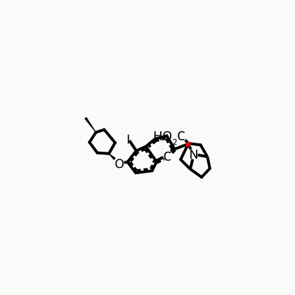 C[C@H]1CC[C@@H](Oc2ccc3cc(CN4C5CCC4CC(C(=O)O)C5)ccc3c2I)CC1